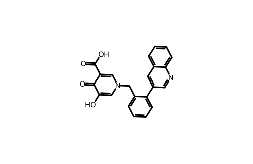 O=C(O)c1cn(Cc2ccccc2-c2cnc3ccccc3c2)cc(O)c1=O